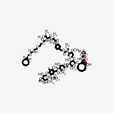 CCN(C(=O)OCc1ccc(NC(=O)[C@H](C)NC(=O)[C@@H](NC(=O)OCCOCCNC(=O)OC[C@@H]2[C@@H]3CC/C=C\CC[C@@H]32)C(C)C)cc1)[C@H]1CO[C@@H](OC2C(O)[C@H](NO[C@H]3C[C@@H](O)[C@H](SC(=O)c4c(C)c(I)c(O[C@@H]5OC(C)[C@H](O)C(OC)[C@@H]5O)c(OC)c4OC)C(C)O3)C(C)O[C@H]2O[C@H]2C#C/C=C\C#C[C@@]3(O)CC(=O)C(NC(=O)OC)=C2/C3=C\CSSSC)CC1OC